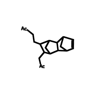 CC(=O)CCC1C(CC(C)=O)C2CC1C1C3C=CC(C3)C21